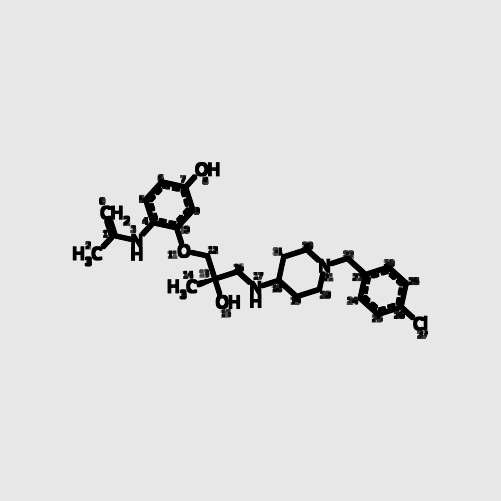 C=C(C)Nc1ccc(O)cc1OC[C@@](C)(O)CNC1CCN(Cc2ccc(Cl)cc2)CC1